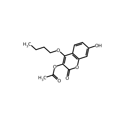 CCCCOc1c(OC(C)=O)c(=O)oc2cc(O)ccc12